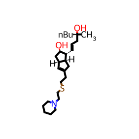 CCCC[C@](C)(O)C/C=C/[C@@H]1[C@H]2CC(CCSCCN3CCCCC3)=C[C@H]2C[C@H]1O